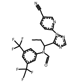 CCC(c1ncnn1-c1ccc(C#N)cn1)N(C=O)c1cc(C(F)(F)F)cc(C(F)(F)F)c1